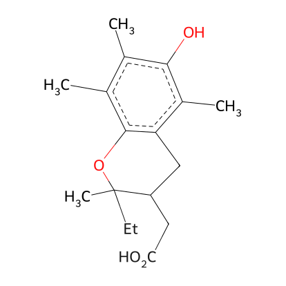 CCC1(C)Oc2c(C)c(C)c(O)c(C)c2CC1CC(=O)O